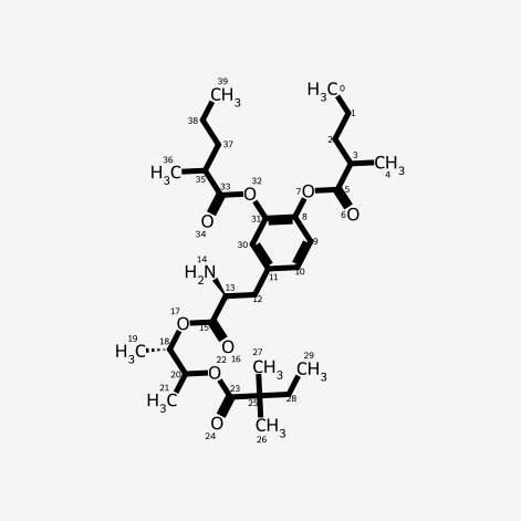 CCCC(C)C(=O)Oc1ccc(C[C@H](N)C(=O)O[C@@H](C)C(C)OC(=O)C(C)(C)CC)cc1OC(=O)C(C)CCC